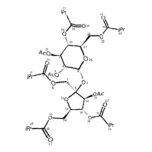 CC(=O)O[C@@H]1[C@@H](OC(C)=O)[C@@H](O[C@]2(COC(=O)C(C)C)O[C@H](COC(=O)C(C)C)[C@@H](OC(=O)C(C)C)[C@@H]2OC(C)=O)O[C@H](COC(=O)C(C)C)[C@H]1OC(=O)C(C)C